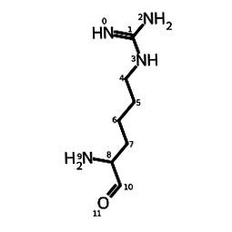 N=C(N)NCCCCC(N)C=O